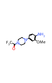 COc1cc(N2CCN(C(=O)C(F)(F)F)CC2)ccc1N